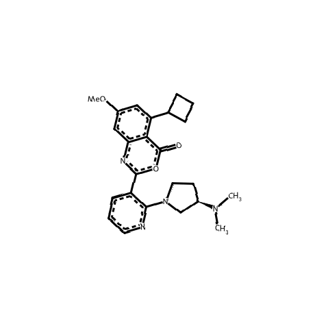 COc1cc(C2CCC2)c2c(=O)oc(-c3cccnc3N3CC[C@@H](N(C)C)C3)nc2c1